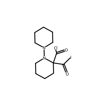 O=C(Cl)C1(C(=O)I)CCCCN1N1CCCCC1